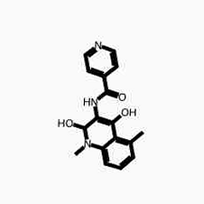 Cc1cccc2c1C(O)=C(NC(=O)c1ccncc1)C(O)N2C